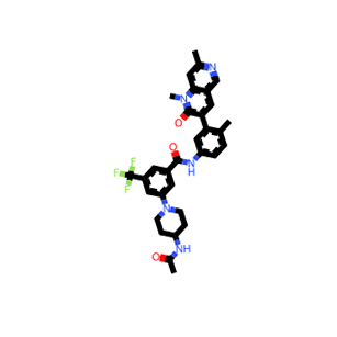 CC(=O)NC1CCN(c2cc(C(=O)Nc3ccc(C)c(-c4cc5cnc(C)cc5n(C)c4=O)c3)cc(C(F)(F)F)c2)CC1